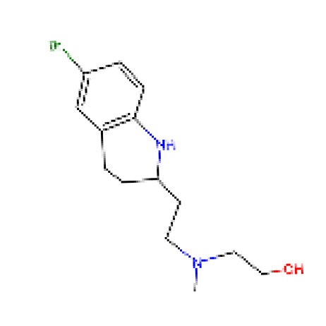 CN(CCO)CCC1CCc2cc(Br)ccc2N1